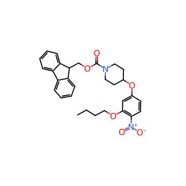 CCCCOc1cc(OC2CCN(C(=O)OCC3c4ccccc4-c4ccccc43)CC2)ccc1[N+](=O)[O-]